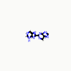 C1=NC2=NC(c3nc4cnc[nH]c-4n3)N=CC2=N1